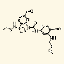 CCSNC12CC(C1)N(C(=O)Nc1cc(NCCOC)c(C#N)cn1)c1nc(C=O)ccc12